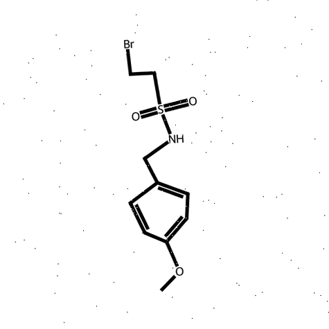 COc1ccc(CNS(=O)(=O)CCBr)cc1